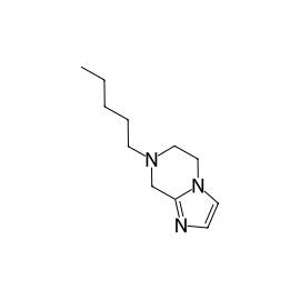 CCCCCN1CCn2ccnc2C1